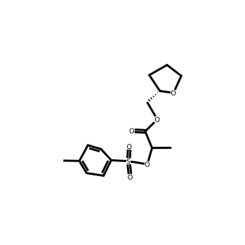 Cc1ccc(S(=O)(=O)OC(C)C(=O)OC[C@@H]2CCCO2)cc1